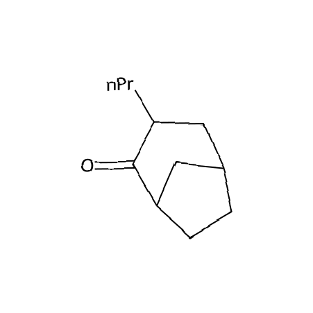 CCCC1CC2CCC(C2)C1=O